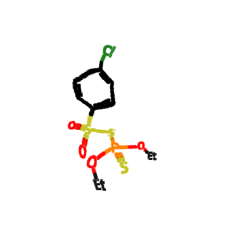 CCOP(=S)(OCC)SS(=O)(=O)c1ccc(Cl)cc1